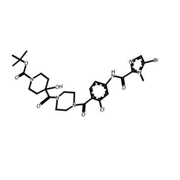 Cn1c(Br)cnc1C(=O)Nc1ccc(C(=O)N2CCN(C(=O)C3(O)CCN(C(=O)OC(C)(C)C)CC3)CC2)c(Cl)c1